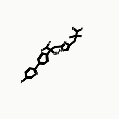 CC(C)(Cc1c[nH]c(CC(O)(c2ccc(-c3ccc(F)cn3)cc2)C(F)F)n1)C(F)F